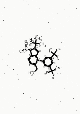 CCc1ccc2c(c1-c1cc(C(F)(F)F)cc(C(F)(F)F)c1)C=C(C(C)(C)C)[CH]2[Zr]([Cl])[Cl]